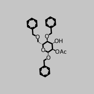 CC(=O)O[C@H]1[C@H](OCc2ccccc2)O[C@H](COCc2ccccc2)[C@@H](OCc2ccccc2)[C@@H]1O